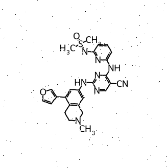 CN1CCc2c(cc(Nc3ncc(C#N)c(Nc4cccc(N=S(C)(C)=O)n4)n3)cc2-c2ccoc2)C1